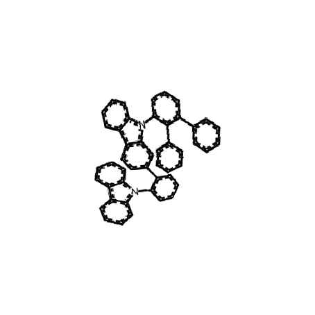 c1ccc(-c2cccc(-n3c4ccccc4c4ccc(-c5ccccc5-n5c6ccccc6c6ccccc65)cc43)c2-c2ccccc2)cc1